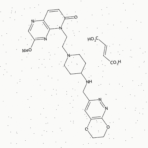 COc1cnc2ccc(=O)n(CCN3CCC(NCc4cc5c(nn4)OCCO5)CC3)c2n1.O=C(O)C=CC(=O)O